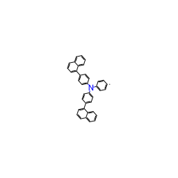 [c]1ccc(N(c2ccc(-c3cccc4ccccc34)cc2)c2ccc(-c3cccc4ccccc34)cc2)cc1